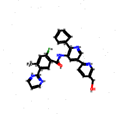 O=C(Nc1cc(-c2ccc(CO)cn2)cnc1-c1ccccc1)c1cc(-c2ncccn2)c(C(F)(F)F)cc1F